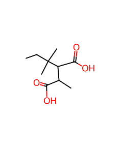 CCC(C)(C)C(C(=O)O)C(C)C(=O)O